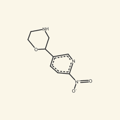 O=[N+]([O-])c1ccc(C2CNCCO2)cn1